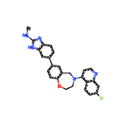 CCNc1nc2ccc(-c3ccc4c(c3)CN(c3ccnc5cc(F)ccc35)CCO4)cc2[nH]1